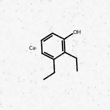 CCc1cccc(O)c1CC.[Ca]